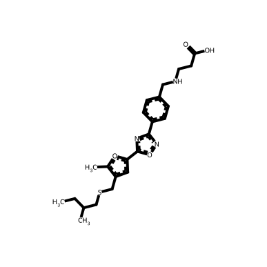 CCC(C)CSCc1cc(-c2nc(-c3ccc(CNCCC(=O)O)cc3)no2)oc1C